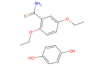 CCOc1ccc(OCC)c(C(N)=S)c1.Oc1ccc(O)cc1